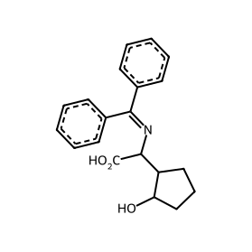 O=C(O)C(N=C(c1ccccc1)c1ccccc1)C1CCCC1O